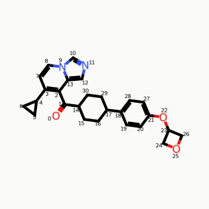 O=C(c1c(C2CC2)ccn2cncc12)C1CCC(c2ccc(OC3COC3)cc2)CC1